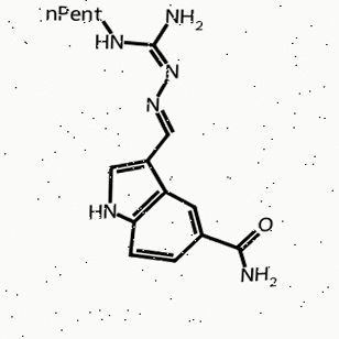 CCCCCNC(N)=NN=Cc1c[nH]c2ccc(C(N)=O)cc12